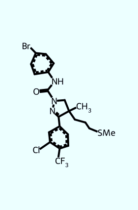 CSCCCC1(C)CN(C(=O)Nc2ccc(Br)cc2)N=C1c1ccc(C(F)(F)F)c(Cl)c1